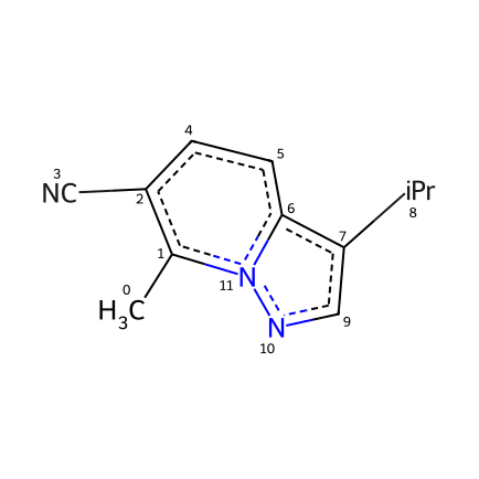 Cc1c(C#N)ccc2c(C(C)C)cnn12